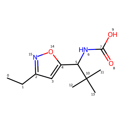 CCc1cc(C(NC(=O)O)C(C)(C)C)on1